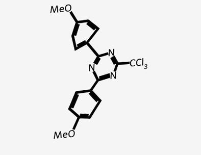 COc1ccc(-c2nc(-c3ccc(OC)cc3)nc(C(Cl)(Cl)Cl)n2)cc1